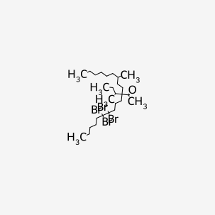 CCCCCCC(C)CCC(CCCC(Br)(Br)C(Br)(Br)CCCCC)(C(C)=O)C(C)CC